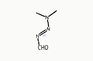 CN(C)/N=N/C=O